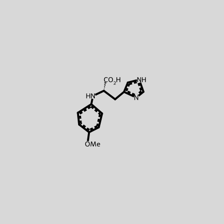 COc1ccc(N[C@@H](Cc2c[nH]cn2)C(=O)O)cc1